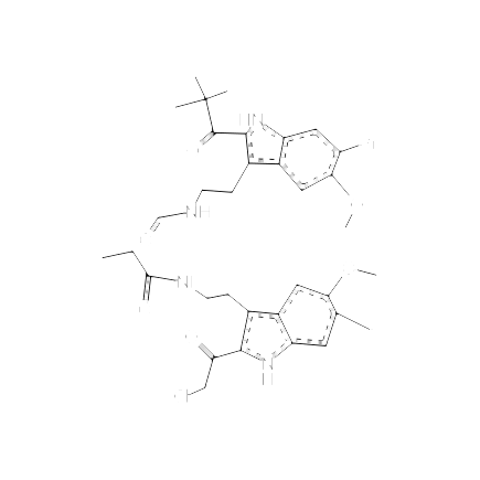 CCC(=O)NCCc1c(C(=O)CCl)[nH]c2cc(I)c(OC)cc12.COc1cc2c(CCNC=O)c(C(=O)C(C)(C)C)[nH]c2cc1Br